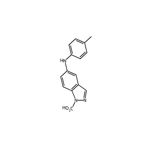 Cc1ccc(Nc2ccc3c(cnn3C(=O)O)c2)cc1